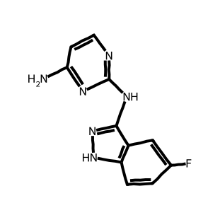 Nc1ccnc(Nc2n[nH]c3ccc(F)cc23)n1